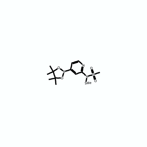 CSN(c1cc(B2OC(C)(C)C(C)(C)O2)ccn1)S(C)(=O)=O